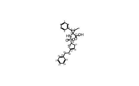 CC1C(c2ccccc2)C1(NS(=O)(=O)C1CC=C(CCc2ccccc2)S1)C(=O)O